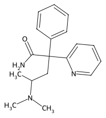 CC(CC(C(N)=O)(c1ccccc1)c1ccccn1)N(C)C